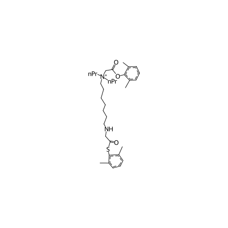 CCC[N+](CCC)(CCCCCCCNCC(=O)Sc1c(C)cccc1C)CC(=O)Oc1c(C)cccc1C